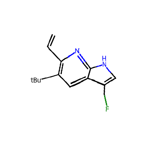 C=Cc1nc2[nH]cc(F)c2cc1C(C)(C)C